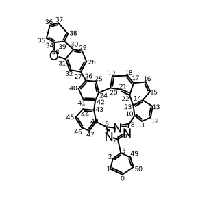 c1ccc(-c2nc3nc(n2)c2cccc4ccc5ccc(cc5c42)c2cc(-c4ccc5c(c4)oc4ccccc45)ccc2c2ccccc32)cc1